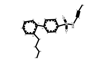 CC#CNS(=O)(=O)c1ccc(-c2ccccc2CCCC)cc1